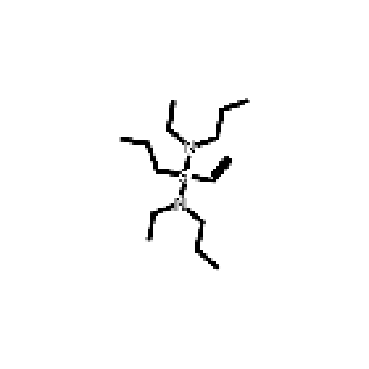 C=C[Si](CCC)(N(CC)CCC)N(CC)CCC